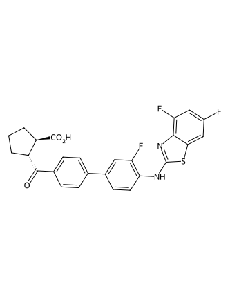 O=C(O)[C@@H]1CCC[C@H]1C(=O)c1ccc(-c2ccc(Nc3nc4c(F)cc(F)cc4s3)c(F)c2)cc1